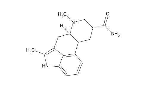 Cc1[nH]c2cccc3c2c1C[C@@H]1C3C[C@@H](C(N)=O)CN1C